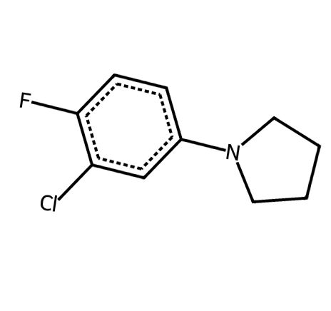 Fc1ccc(N2CCCC2)cc1Cl